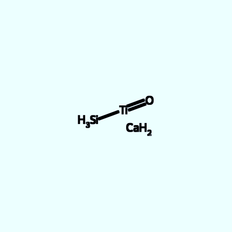 [CaH2].[O]=[Ti][SiH3]